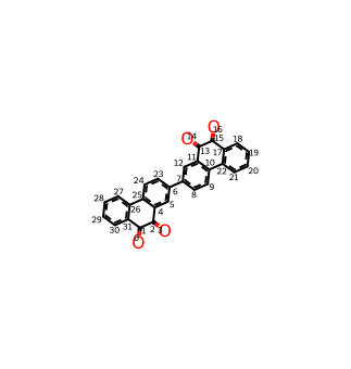 O=C1C(=O)c2cc(-c3ccc4c(c3)C(=O)C(=O)c3ccccc3-4)ccc2-c2ccccc21